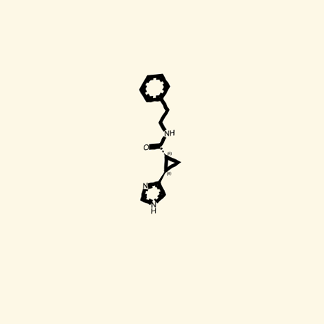 O=C(NCCc1ccccc1)[C@@H]1C[C@H]1c1c[nH]cn1